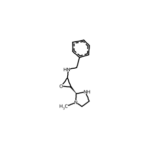 CN1CCN[C@@H]1C1OC1NCc1ccccc1